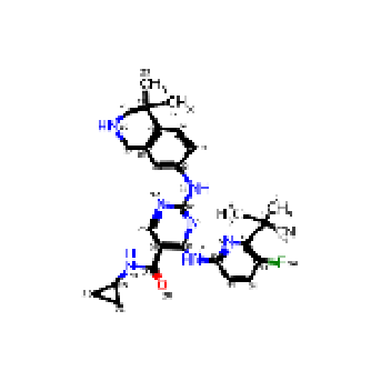 CC(C)(C#N)c1nc(Nc2nc(Nc3ccc4c(c3)CNCC4(C)C)ncc2C(=O)NC2CC2)ccc1F